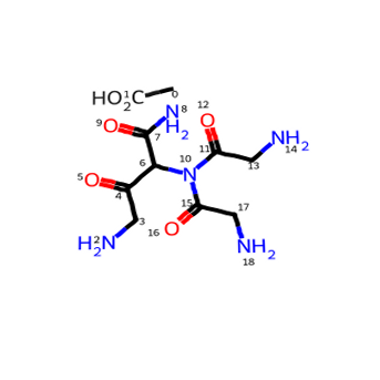 CC(=O)O.NCC(=O)C(C(N)=O)N(C(=O)CN)C(=O)CN